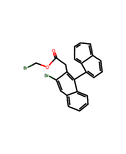 O=C(Cc1c(Br)cc2ccccc2c1-c1cccc2ccccc12)OCBr